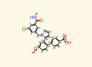 CNC(=O)c1cc(Cl)cc(Cn2nccc2-c2cc(OC)ccc2-c2ccc(C(=O)O)cc2)c1